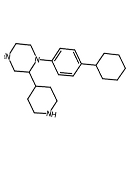 c1cc(N2CCNCC2C2CCNCC2)ccc1C1CCCCC1